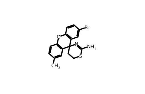 Cc1ccc2c(c1)C1(CCSC(N)=N1)c1cc(Br)ccc1O2